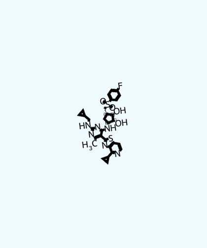 Cc1nc(NCC2CC2)nc(N[C@@H]2C[C@H](CS(=O)(=O)c3ccc(F)cc3)[C@@H](O)[C@H]2O)c1-c1nc2c(C3CC3)nccc2s1